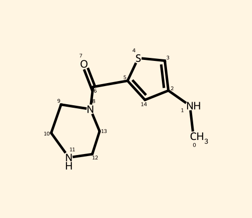 CNc1csc(C(=O)N2CCNCC2)c1